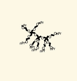 CCCOCCOCC(COCCOCCC)(COCCOCCC)COCC(COCCOCCC)(COCCOCCC)COCC(COCCOCCC)(COCCOCCC)COCCOCCC